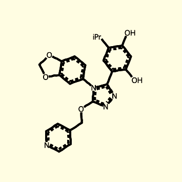 CC(C)c1cc(-c2nnc(OCc3ccncc3)n2-c2ccc3c(c2)OCO3)c(O)cc1O